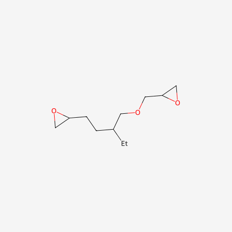 CCC(CCC1CO1)COCC1CO1